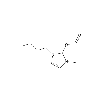 CCCCN1C=CN(C)C1OC=O